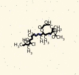 CCC(O)C(C)C(Cl)C(O)CC(C)/C=C/C=C(\C)C1OC(=O)CC(O)CCC(C)(O)C(OC(C)=O)/C=C/C1C